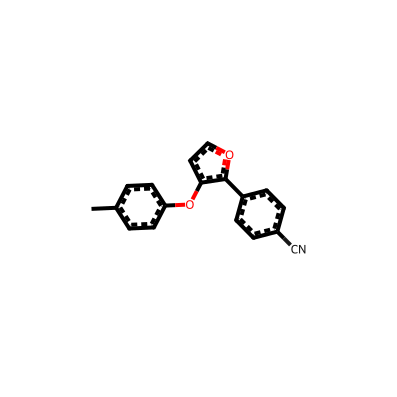 Cc1ccc(Oc2ccoc2-c2ccc(C#N)cc2)cc1